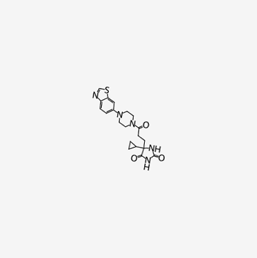 O=C1NC(=O)C(CCC(=O)N2CCN(c3ccc4ncsc4c3)CC2)(C2CC2)N1